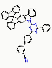 N#Cc1cccc(-c2ccc(-c3nc(-c4ccccc4)nc(-n4c5ccccc5c5cc6c(cc54)-c4ccccc4C64c5ccccc5-c5ccccc54)n3)cc2)c1